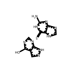 Nc1nc2nc[nH]c2c(=S)[nH]1.Oc1ncnc2[nH]ncc12